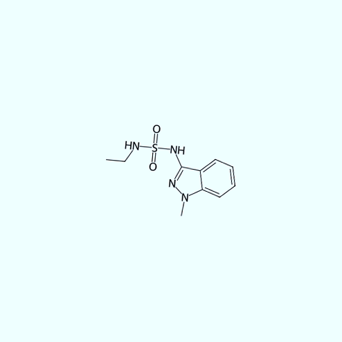 CCNS(=O)(=O)Nc1nn(C)c2ccccc12